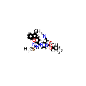 CSc1nc2c(c(N3CCN(C(=O)OC(C)(C)C)[C@@H](CC#N)C3)n1)CCC1(CC(C)c3ccccc31)O2